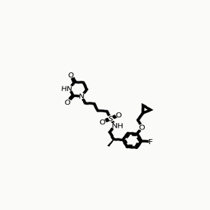 C[C@@H](CNS(=O)(=O)CCCCN1CCC(=O)NC1=O)c1ccc(F)c(OCC2CC2)c1